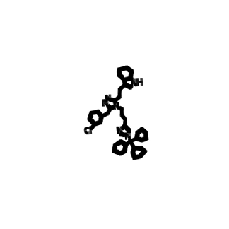 Clc1cccc(Cc2nnc(CCc3c[nH]c4ccccc34)n2CCCc2cn(C(c3ccccc3)(c3ccccc3)c3ccccc3)cn2)c1